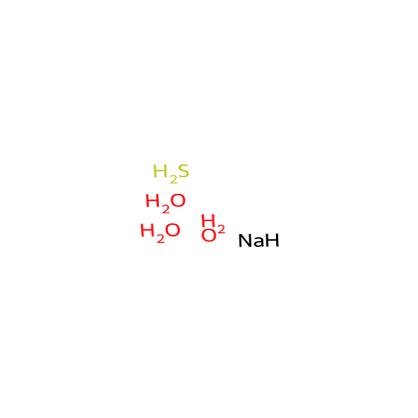 O.O.O.S.[NaH]